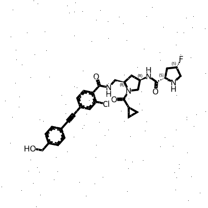 O=C(NC[C@H]1C[C@@H](NC(=O)[C@@H]2C[C@H](F)CN2)CN1C(=O)C1CC1)c1ccc(C#Cc2ccc(CO)cc2)cc1Cl